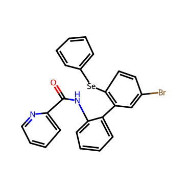 O=C(Nc1ccccc1-c1cc(Br)ccc1[Se]c1ccccc1)c1ccccn1